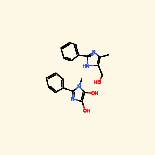 Cc1nc(-c2ccccc2)[nH]c1CO.Cn1c(-c2ccccc2)nc(O)c1O